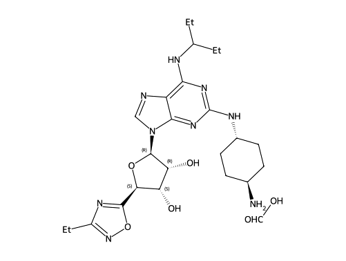 CCc1noc([C@H]2O[C@@H](n3cnc4c(NC(CC)CC)nc(N[C@H]5CC[C@H](N)CC5)nc43)[C@H](O)[C@@H]2O)n1.O=CO